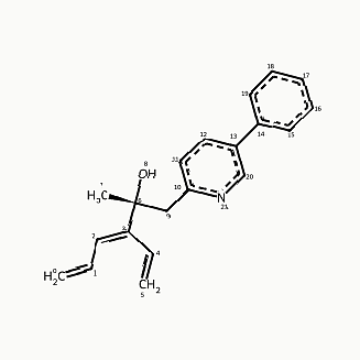 C=C/C=C(\C=C)[C@](C)(O)Cc1ccc(-c2ccccc2)cn1